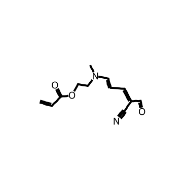 C=CC(=O)OCCN(C)/C=C/C=C(\C#N)C=O